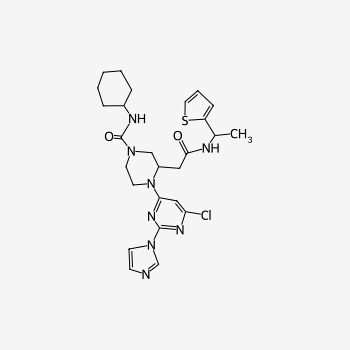 CC(NC(=O)CC1CN(C(=O)NC2CCCCC2)CCN1c1cc(Cl)nc(-n2ccnc2)n1)c1cccs1